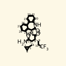 NC(=O)[C@@H](CC1CC1)[C@@H](CCC(F)(F)F)C(=O)N[C@@H]1C(=O)Nc2ccccc2-c2ccccc21